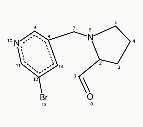 O=CC1CCCN1Cc1cncc(Br)c1